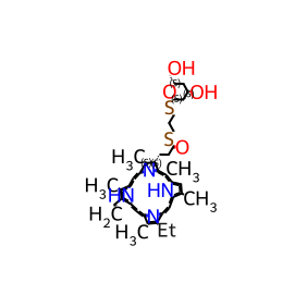 C=Cc1c(C)c2cc3nc(c(C)c4cc(C)c(cc5nc(cc1[nH]2)C(C)=C5CC)[nH]4)[C@@H](CCC(=O)SCCCS[C@H]1C[C@@H](O)C[C@@H](CO)O1)[C@@H]3C